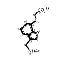 CC(=O)NCc1coc2c(OCC(=O)O)cccc12